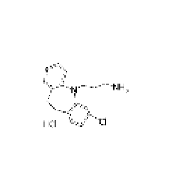 Cl.NCCCN1c2ccccc2CCc2ccc(Cl)cc21